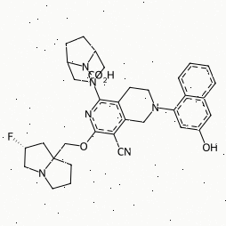 N#Cc1c(OCC23CCCN2C[C@H](F)C3)nc(N2CC3CCC(C2)N3C(=O)O)c2c1CN(c1cc(O)cc3ccccc13)CC2